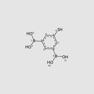 OB(O)c1cc(S)cc(B(O)O)c1